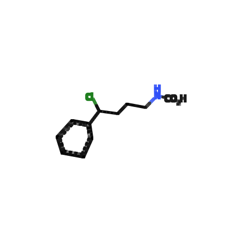 O=C(O)NCCCC(Cl)c1ccccc1